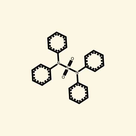 O=S(=O)(N(c1ccccc1)c1ccccc1)N(c1ccccc1)c1ccccc1